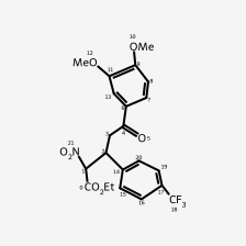 CCOC(=O)C(C(CC(=O)c1ccc(OC)c(OC)c1)c1ccc(C(F)(F)F)cc1)[N+](=O)[O-]